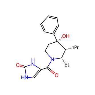 CCC[C@@H]1[C@H](CC)N(C(=O)c2c[nH]c(=O)[nH]2)CC[C@@]1(O)c1ccccc1